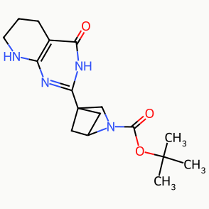 CC(C)(C)OC(=O)N1CC2(c3nc4c(c(=O)[nH]3)CCCN4)CC1C2